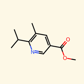 COC(=O)c1cnc(C(C)C)c(C)c1